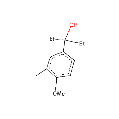 CCC(O)(CC)c1ccc(OC)c(C)c1